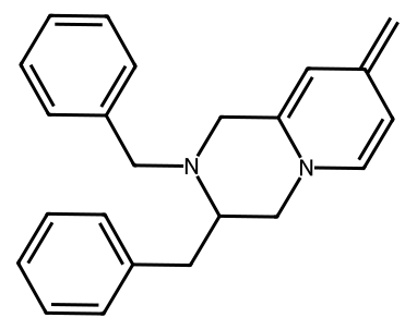 C=C1C=CN2CC(Cc3ccccc3)N(Cc3ccccc3)CC2=C1